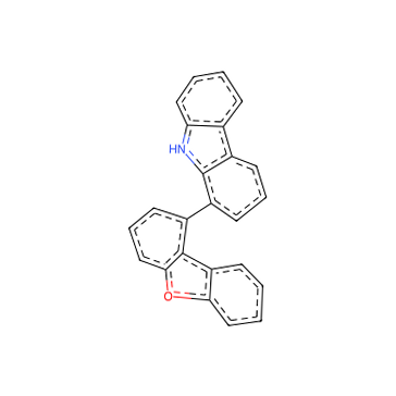 c1ccc2c(c1)[nH]c1c(-c3cccc4oc5ccccc5c34)cccc12